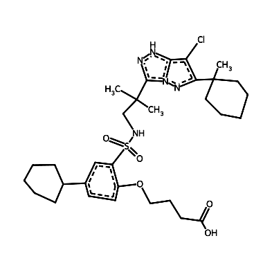 CC(C)(CNS(=O)(=O)c1cc(C2CCCCC2)ccc1OCCCC(=O)O)c1n[nH]c2c(Cl)c(C3(C)CCCCC3)nn12